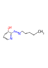 CCCCC/N=N/c1ncccc1O